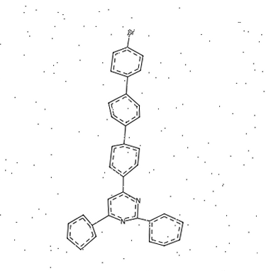 Brc1ccc(-c2ccc(-c3ccc(-c4cc(-c5ccccc5)nc(-c5ccccc5)n4)cc3)cc2)cc1